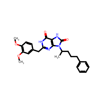 COc1ccc(Cc2nc3c([nH]c(=O)n3C(C)CCCc3ccccc3)c(=O)[nH]2)cc1OC